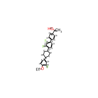 CCOc1ccc(C2CCC(c3ccc(-c4ccc(C(C)O)cc4)c(F)c3F)CC2)cc1F